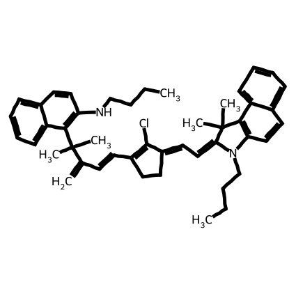 C=C(/C=C/C1=C(Cl)C(=C/C=C2/N(CCCC)c3ccc4ccccc4c3C2(C)C)/CC1)C(C)(C)c1c(NCCCC)ccc2ccccc12